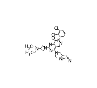 CCN(CC)C1CN(c2nc(N3CCNC(CC#N)C3)c3cnn(-c4cccc(Cl)c4Cl)c(=O)c3n2)C1